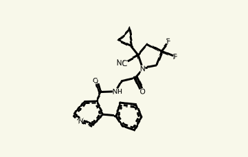 N#CC1(C2CC2)CC(F)(F)CN1C(=O)CNC(=O)c1ccncc1-c1ccccc1